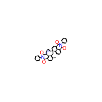 Cc1ccc2c3c1CC1(C=CC4=C5C1=C=CC=C5C(=O)N(c1ccccc1)C4=O)/C=C/C=C\3C(=O)N(c1ccccc1)C2=O